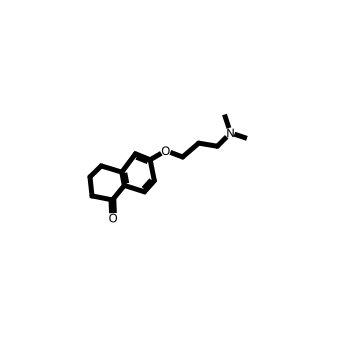 CN(C)CCCOc1ccc2c(c1)CCCC2=O